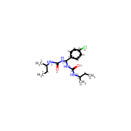 CCC(C)NC(=O)NC(NC(=O)NC(C)CC)c1ccc(Cl)cc1